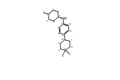 CN1CCC(Nc2ccc(N3CCC(C)(C)CC3)cc2)CC1